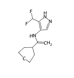 C=C(Nc1cn[nH]c1C(F)F)C1CCCCC1